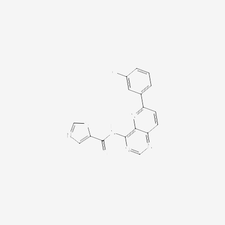 O=C(Nc1ncnc2ccc(-c3cccc(C(F)(F)F)c3)nc12)c1cncs1